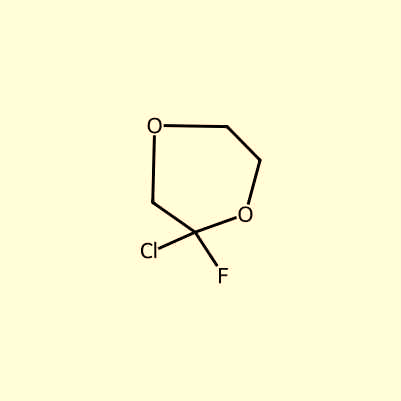 FC1(Cl)COCCO1